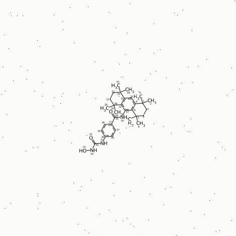 CC1(C)CCC(C)(C)c2c1cc1c(c2NC(=O)c2ccc(NC(=O)NO)cc2)C(C)(C)CCC1(C)C